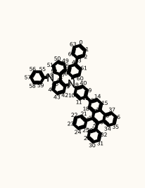 c1ccc(-c2ccc(N(c3ccc(-c4ccc5c(c4)c(-c4ccccc4)c(-c4ccccc4)c4ccccc45)cc3)c3cccc4c3c3ccccc3n4-c3ccccc3)cc2)cc1